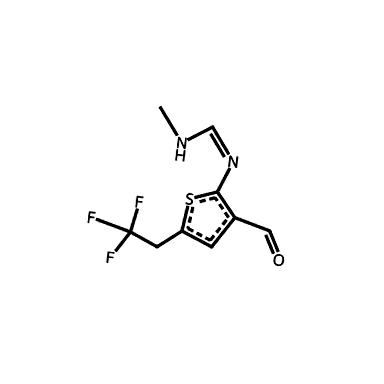 CN/C=N\c1sc(CC(F)(F)F)cc1C=O